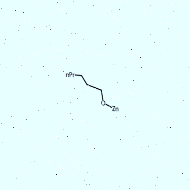 CCCCCC[O][Zn]